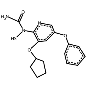 NC(=O)N(S)c1ncc(Oc2ccccc2)cc1OC1CCCC1